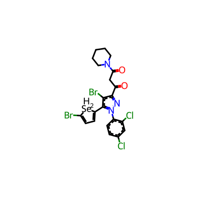 O=C(CC(=O)N1CCCCC1)c1nn(-c2ccc(Cl)cc2Cl)c(C2=CC=C(Br)[SeH2]2)c1Br